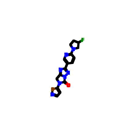 O=C1N(c2ccns2)Cc2nc(-c3ccc(N4CCC(F)C4)nc3)nn21